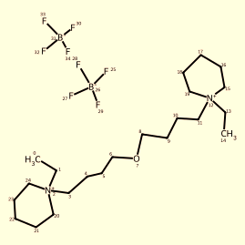 CC[N+]1(CCCCOCCCC[N+]2(CC)CCCCC2)CCCCC1.F[B-](F)(F)F.F[B-](F)(F)F